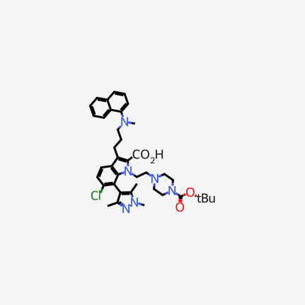 Cc1nn(C)c(C)c1-c1c(Cl)ccc2c(CCCN(C)c3cccc4ccccc34)c(C(=O)O)n(CCN3CCN(C(=O)OC(C)(C)C)CC3)c12